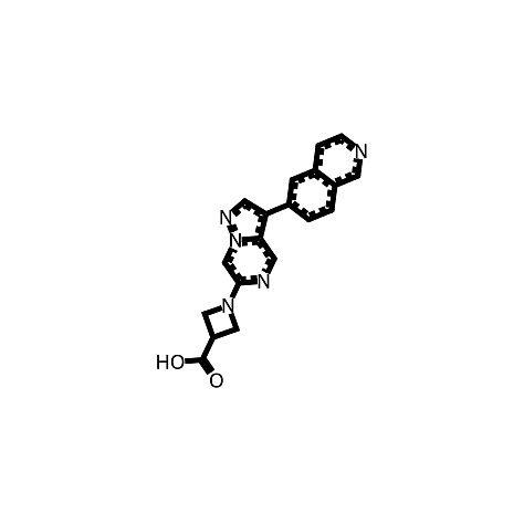 O=C(O)C1CN(c2cn3ncc(-c4ccc5cnccc5c4)c3cn2)C1